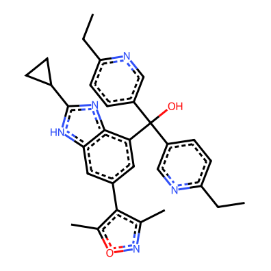 CCc1ccc(C(O)(c2ccc(CC)nc2)c2cc(-c3c(C)noc3C)cc3[nH]c(C4CC4)nc23)cn1